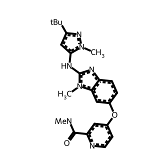 CNC(=O)c1cc(Oc2ccc3nc(Nc4cc(C(C)(C)C)nn4C)n(C)c3c2)ccn1